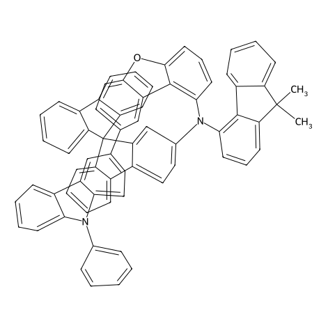 CC1(C)c2ccccc2-c2c(N(c3ccc4c(c3)C3(c5ccccc5-c5ccccc53)c3ccccc3-4)c3cccc4oc5ccc(-c6ccc7c(c6)c6ccccc6n7-c6ccccc6)cc5c34)cccc21